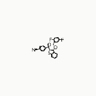 N#Cc1ccc(C(=O)c2sc3ccccc3c2OCc2cc(F)ccc2F)cc1